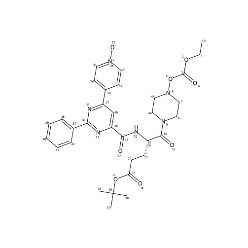 CCOC(=O)ON1CCN(C(=O)[C@H](CCC(=O)OC(C)(C)C)NC(=O)c2cc(-c3cc[n+]([O-])cc3)nc(-c3ccccc3)n2)CC1